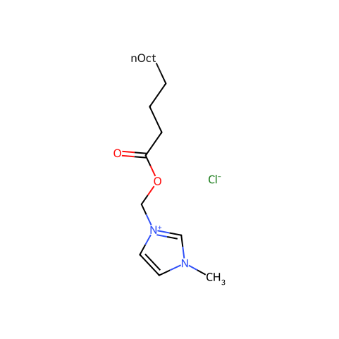 CCCCCCCCCCCC(=O)OC[n+]1ccn(C)c1.[Cl-]